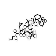 CCCNC(=O)C(=O)[C@H](CC1CC1)NC(=O)[C@@H]1[C@@H]2[C@H](CN1C(=O)[C@@H](NC(=O)NC1([C@@H]3CCCS3(=O)=O)CCCCC1)C(C)(C)C)C2(Cl)Cl